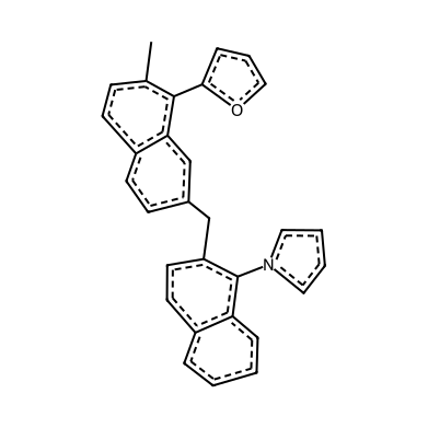 Cc1ccc2ccc(Cc3ccc4ccccc4c3-n3cccc3)cc2c1-c1ccco1